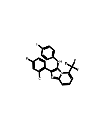 Fc1ccc(Nc2c(-c3ccc(F)cc3Cl)nc3cccc(C(F)(F)F)n23)cc1